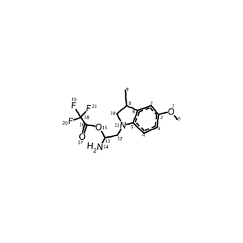 COc1ccc2c(c1)C(C)CN2CC(N)OC(=O)C(F)(F)F